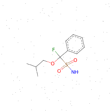 CC(C)COC(F)(c1ccccc1)S([NH])(=O)=O